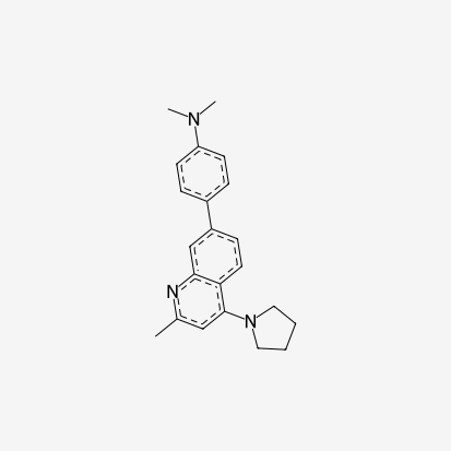 Cc1cc(N2CCCC2)c2ccc(-c3ccc(N(C)C)cc3)cc2n1